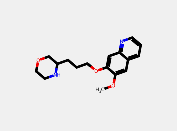 COc1cc2cccnc2cc1OCCCC1COCCN1